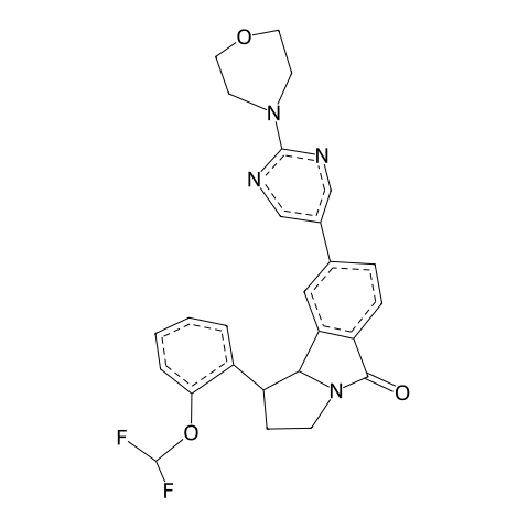 O=C1c2ccc(-c3cnc(N4CCOCC4)nc3)cc2C2C(c3ccccc3OC(F)F)CCN12